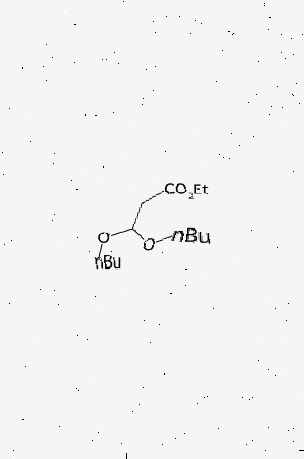 CCCCOC(CC(=O)OCC)OCCCC